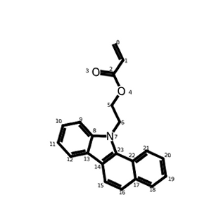 C=CC(=O)OCCn1c2ccccc2c2ccc3ccccc3c21